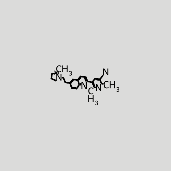 Cc1nc(C)c(-c2ccc3cc(CCN4CCC[C@H]4C)ccc3n2)cc1C#N